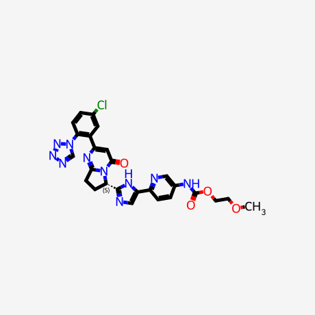 COCCOC(=O)Nc1ccc(-c2cnc([C@@H]3CCc4nc(-c5cc(Cl)ccc5-n5cnnn5)cc(=O)n43)[nH]2)nc1